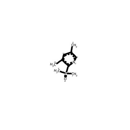 Cc1cnc(P(C)(C)=O)c(C)c1